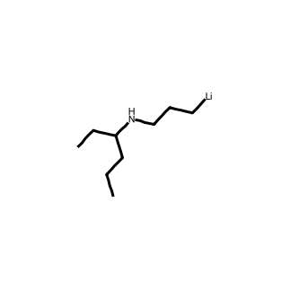 [Li][CH2]CCNC(CC)CCC